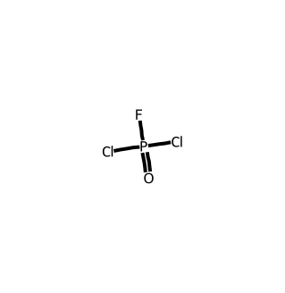 O=P(F)(Cl)Cl